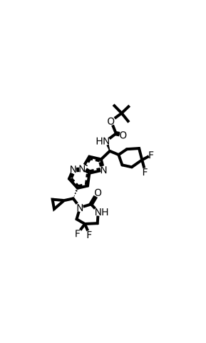 CC(C)(C)OC(=O)N[C@H](c1cn2ncc([C@@H](C3CC3)N3CC(F)(F)CNC3=O)cc2n1)C1CCC(F)(F)CC1